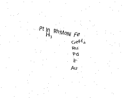 [Au].[Fe].[GeH4].[InH3].[Ir].[Mo].[Ni].[Pd].[Pt].[Rh].[Ru]